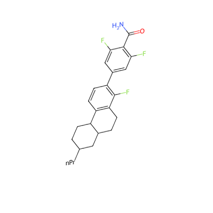 CCCC1CCC2c3ccc(-c4cc(F)c(C(N)=O)c(F)c4)c(F)c3CCC2C1